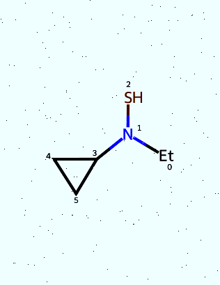 CCN(S)C1CC1